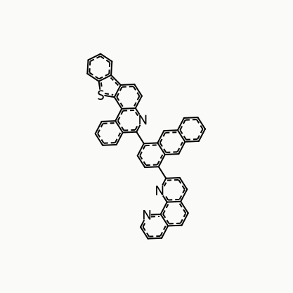 c1ccc2cc3c(-c4nc5ccc6c7ccccc7sc6c5c5ccccc45)ccc(-c4ccc5ccc6cccnc6c5n4)c3cc2c1